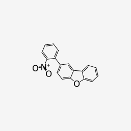 O=[N+]([O-])c1ccccc1-c1ccc2oc3ccccc3c2c1